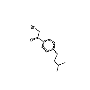 CC(C)CCc1ccc(C(=O)CBr)cc1